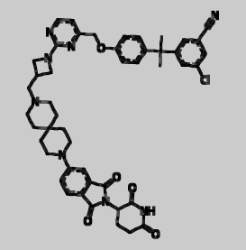 CC(C)(c1ccc(OCc2ccnc(N3CC(CN4CCC5(CC4)CCN(c4ccc6c(c4)C(=O)N(C4CCC(=O)NC4=O)C6=O)CC5)C3)n2)cc1)c1cc(Cl)cc(C#N)c1